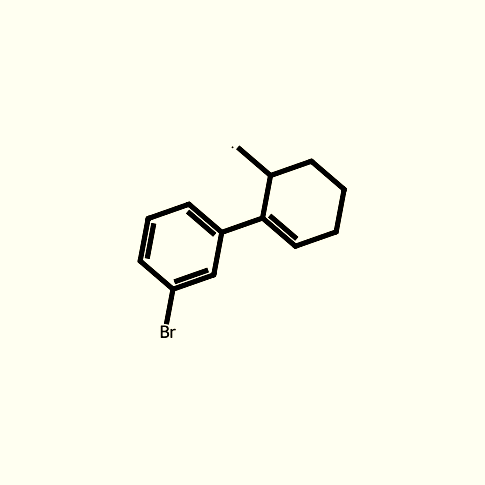 [CH2]C1CCCC=C1c1cccc(Br)c1